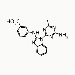 Cc1nc(N)nc(-n2c(Nc3cccc(C(=O)O)c3)nc3ccccc32)n1